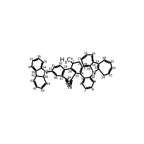 CC1CC=C(c2ccccc2-n2c3c(c4ccccc42)C=CC=CC3)C(C#N)=C1c1ccc(N2c3ccccc3C3C=CC=CC32)cc1C#N